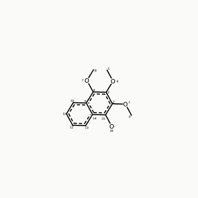 COc1c(OC)c(OC)c2ccccc2c1[O]